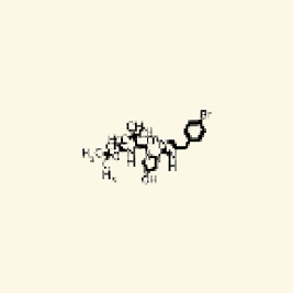 CC(C)(C)OC(=O)N[C@H](C(=O)N1C[C@H](O)C[C@H]1c1ncc(Cc2ccc(Br)cc2)[nH]1)C(C)(C)C